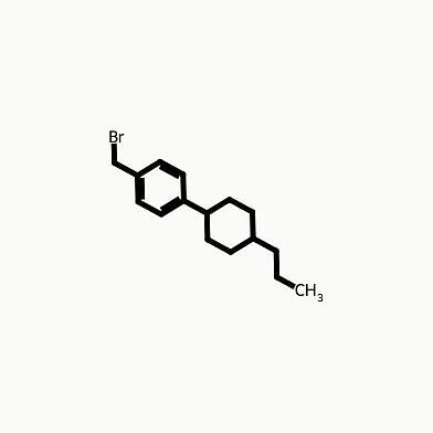 CCCC1CCC(c2ccc(CBr)cc2)CC1